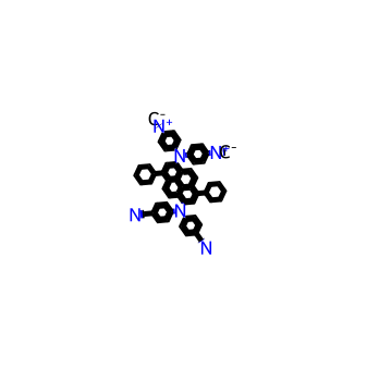 [C-]#[N+]c1ccc(N(c2ccc([N+]#[C-])cc2)c2cc(C3CCCCC3)c3ccc4c(N(c5ccc(C#N)cc5)c5ccc(C#N)cc5)cc(C5CCCCC5)c5ccc2c3c54)cc1